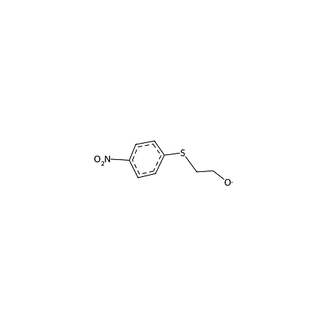 [O]CCSc1ccc([N+](=O)[O-])cc1